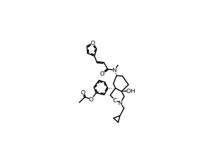 CC(=O)Oc1cccc([C@@]23CCN(CC4CC4)C[C@@]2(O)CC[C@@H](N(C)C(=O)/C=C/c2ccoc2)C3)c1